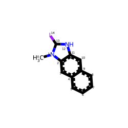 CN1c2cc3ccccc3cc2NC1I